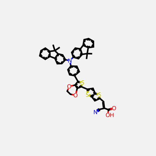 CC1(C)c2ccccc2-c2ccc(N(c3ccc(-c4sc(-c5cc6sc(/C=C(\C#N)C(=O)O)cc6s5)c5c4OCCO5)cc3)c3ccc4c(c3)C(C)(C)c3ccccc3-4)cc21